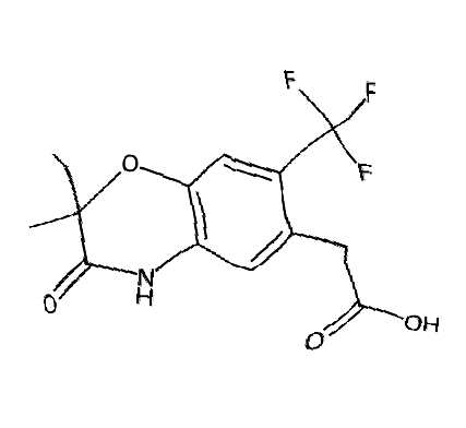 CC1(C)Oc2cc(C(F)(F)F)c(CC(=O)O)cc2NC1=O